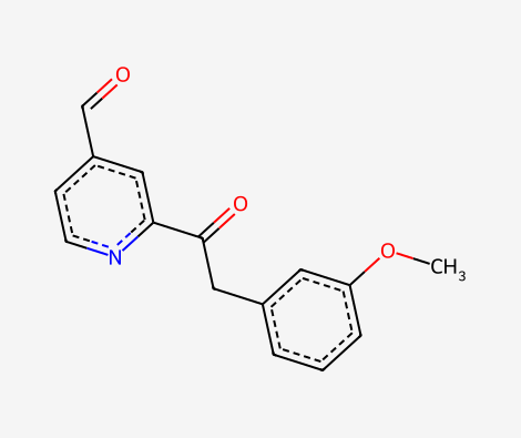 COc1cccc(CC(=O)c2cc(C=O)ccn2)c1